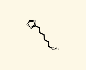 [CH2]OCCCCCCc1ncon1